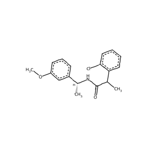 COc1cccc([C@@H](C)NC(=O)C(C)c2ccccc2Cl)c1